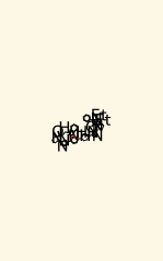 CCN(CC)[C@@H](C(=O)N1CCC[C@H]1c1ncc(C2=CC=C(c3ccc(-c4cnc([C@@H]5CCCN5C(=O)CCc5c[nH]c6ccccc56)[nH]4)cc3)CC2)[nH]1)c1ccccc1